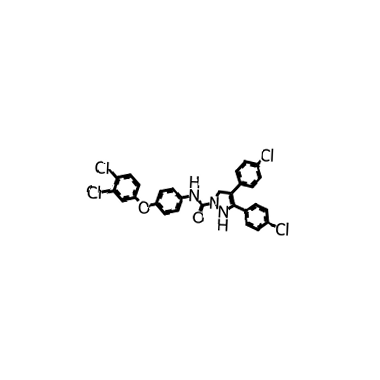 O=C(Nc1ccc(Oc2ccc(Cl)c(Cl)c2)cc1)N1CC(c2ccc(Cl)cc2)=C(c2ccc(Cl)cc2)N1